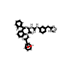 O=C(Nc1cccc(Cc2nnn[nH]2)c1)N[C@@H]1N=C(c2ccccc2F)c2ccccc2N(CC(=O)N2CC3CCC(CC3)C2)C1=O